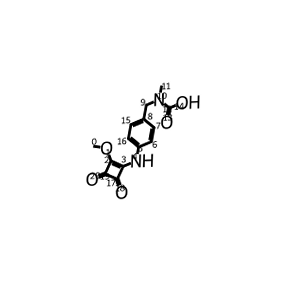 COc1c(Nc2ccc(CN(C)C(=O)O)cc2)c(=O)c1=O